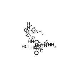 Cl.NC(=O)C[C@@](Cc1ccc(NC(=O)Cc2csc([C@@H](C(N)=O)c3csc(N)n3)n2)cc1)(NC[C@H](O)c1ccccc1)c1csc(N)n1